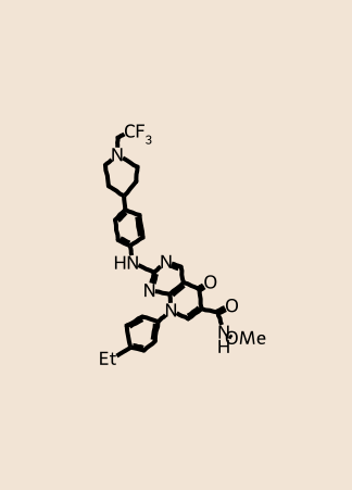 CCc1ccc(-n2cc(C(=O)NOC)c(=O)c3cnc(Nc4ccc(C5CCN(CC(F)(F)F)CC5)cc4)nc32)cc1